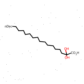 CCCCCCCCCCCCCCCCCCCCCCCCC(O)(O)C(=O)O